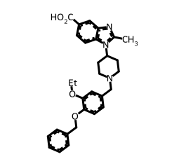 CCOc1cc(CN2CCC(n3c(C)nc4cc(C(=O)O)ccc43)CC2)ccc1OCc1ccccc1